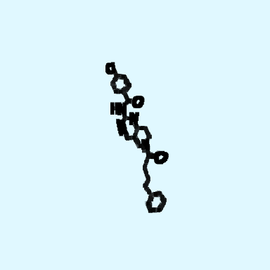 O=C(NC1N=CC2=CN(C(=O)CCCc3ccccc3)CCC2=N1)c1ccc(Cl)cc1